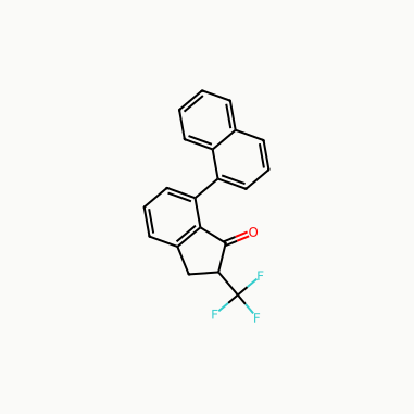 O=C1c2c(cccc2-c2cccc3ccccc23)CC1C(F)(F)F